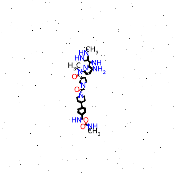 CCN(C(=O)[C@@H]1CCN(CC(=O)N2CC=C(c3ccc(C(=N)OC(=O)NC)cc3)CC2)C1)c1ccc(N)c(C(=N)/C(C=N)=C/NC)n1